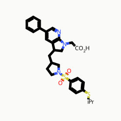 CC(C)Sc1ccc(S(=O)(=O)N2CCC(CC3CN(CC(=O)O)c4ncc(-c5ccccc5)cc43)C2)cc1